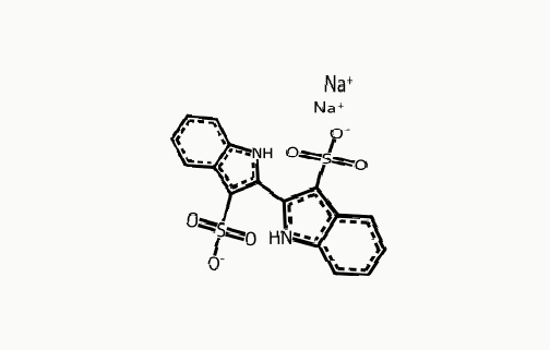 O=S(=O)([O-])c1c(-c2[nH]c3ccccc3c2S(=O)(=O)[O-])[nH]c2ccccc12.[Na+].[Na+]